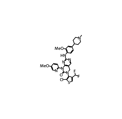 COc1ccc(N2C(=O)N(c3c(C(F)F)csc3Cl)Cc3cnc(Nc4ccc(C5CCN(C)CC5)cc4OC)nc32)nc1